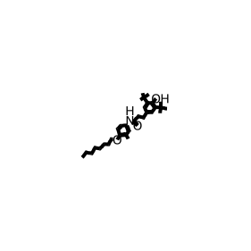 CCCCCCCCOc1ccc(NC(=O)CCc2cc(C(C)(C)C)c(O)c(C(C)(C)C)c2)cc1C